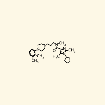 Cc1cccc(N2CCN(CCCN(C)C(=O)c3nc(C)n(C4CCCC4)c3C)CC2)c1C